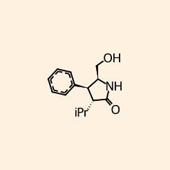 CC(C)[C@H]1C(=O)N[C@H](CO)[C@@H]1c1ccccc1